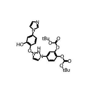 CC(C)(C)OC(=O)Oc1ccc(N2C=CN(Oc3ccc(-n4ccnc4)cc3O)N2)cc1OC(=O)OC(C)(C)C